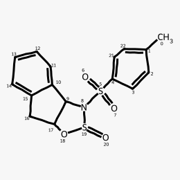 Cc1ccc(S(=O)(=O)N2C3c4ccccc4CC3OS2=O)cc1